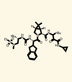 CCCCC(NC(=O)[C@@H]1[C@@H]2[C@H](CN1C(=O)[C@@H](NC(=O)N[C@H](CN(C)S(=O)(=O)CC)C(C)(C)C)C1Cc3ccccc3C1)C2(C)C)C(=O)C(=O)NC1CC1